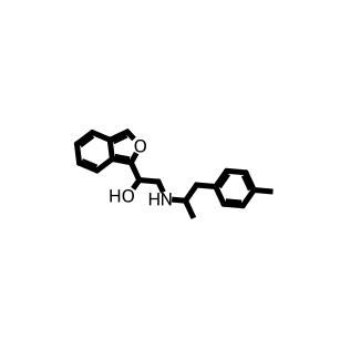 Cc1ccc(CC(C)NCC(O)c2occ3ccccc23)cc1